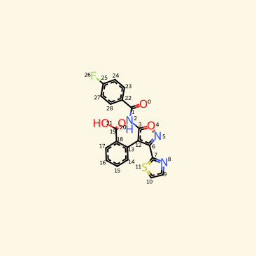 O=C(Nc1onc(-c2nccs2)c1-c1ccccc1C(=O)O)c1ccc(F)cc1